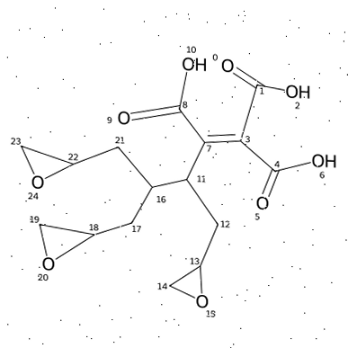 O=C(O)C(C(=O)O)=C(C(=O)O)C(CC1CO1)C(CC1CO1)CC1CO1